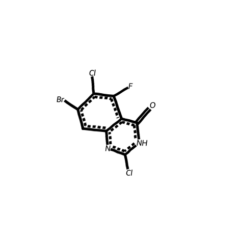 O=c1[nH]c(Cl)nc2cc(Br)c(Cl)c(F)c12